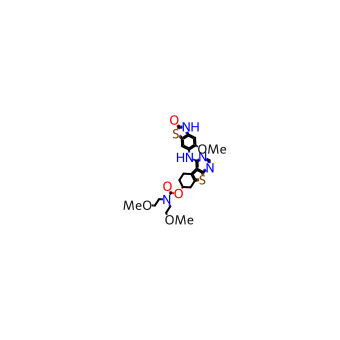 COCCN(CCOC)C(=O)OC1CCc2c(sc3ncnc(Nc4cc5sc(=O)[nH]c5cc4OC)c23)C1